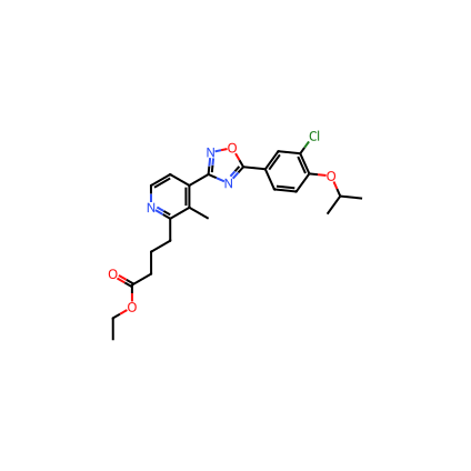 CCOC(=O)CCCc1nccc(-c2noc(-c3ccc(OC(C)C)c(Cl)c3)n2)c1C